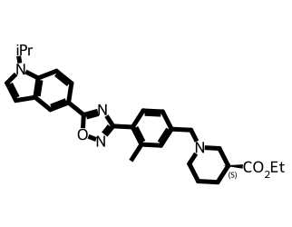 CCOC(=O)[C@H]1CCCN(Cc2ccc(-c3noc(-c4ccc5c(ccn5C(C)C)c4)n3)c(C)c2)C1